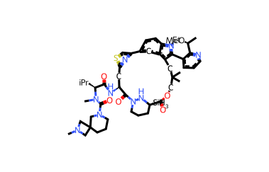 CCn1c(-c2cccnc2[C@H](C)OC)c2c3cc(ccc31)-c1csc(n1)C[C@H](NC(=O)[C@H](C(C)C)N(C)C(=O)N1CCCC3(CN(C)C3)C1)C(=O)N1CCC[C@@]([SiH3])(N1)C(=O)OCC(C)(C)C2